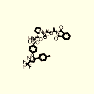 Cc1ccc(-c2cc(C(F)(F)F)nn2-c2ccc(S(=O)(=O)NC(=O)[C@@H]3CCCN3[N+]([O-])=NOC(C)N3C(=O)c4ccccc4C3=O)cc2)cc1